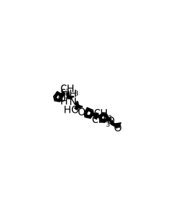 C[SiH](CCCNCC(O)COC1CCC(C(C)(C)C2CCC(OCC3CO3)CC2)CC1)C1CCCCO1